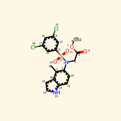 Cc1c(N(CC(=O)OC(C)(C)C)S(=O)(=O)c2cc(Cl)cc(Cl)c2)ccc2[nH]ccc12